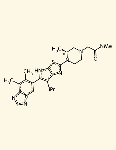 CNC(=O)CN1CCN(c2nc3c(C(C)C)c(-c4cn5ncnc5c(C)c4C)[nH]c3s2)[C@@H](C)C1